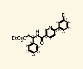 CCOC(=O)CC(NC(=O)c1ccc(-c2cccc(F)c2)nc1)c1ccccc1